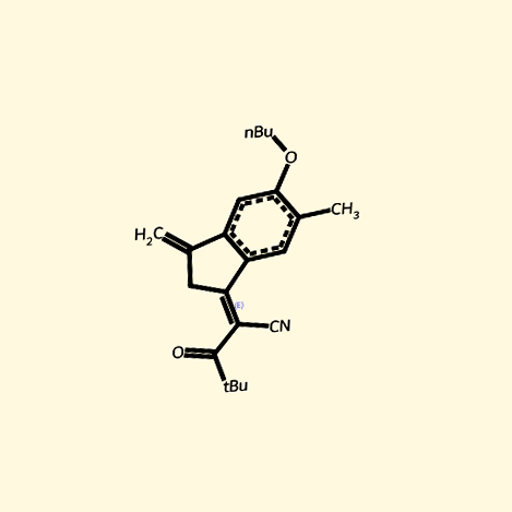 C=C1C/C(=C(/C#N)C(=O)C(C)(C)C)c2cc(C)c(OCCCC)cc21